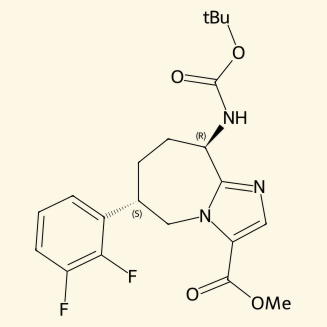 COC(=O)c1cnc2n1C[C@H](c1cccc(F)c1F)CC[C@H]2NC(=O)OC(C)(C)C